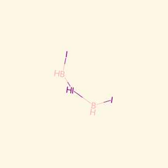 IB[IH]BI